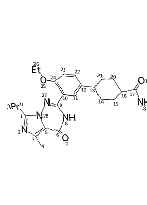 CCCc1nc(C)c2c(=O)[nH]c(-c3cc(C4CCC(C(N)=O)CC4)ccc3OCC)nn12